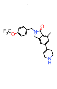 Cc1cc(C2=CCNCC2)cc2c1C(=O)N(Cc1ccc(OC(F)(F)F)cc1)C2